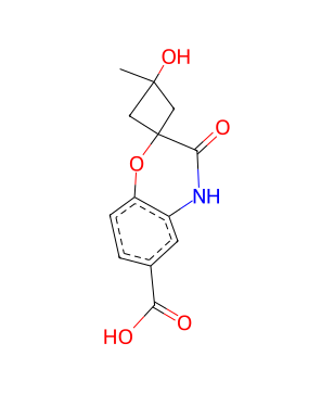 CC1(O)CC2(C1)Oc1ccc(C(=O)O)cc1NC2=O